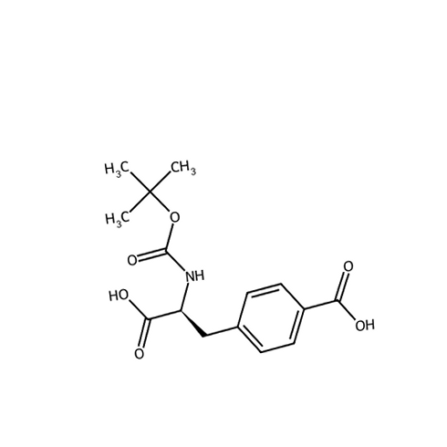 CC(C)(C)OC(=O)N[C@@H](Cc1ccc(C(=O)O)cc1)C(=O)O